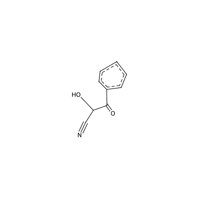 N#CC(O)C(=O)c1ccccc1